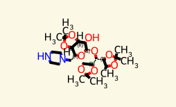 CC1OC(C)(C)O[C@H]1C(O[C@@H]1O[C@H](CN2CCNCC2)[C@@H]2OC(C)(C)O[C@@H]2C1O)[C@H]1COC(C)(C)O1